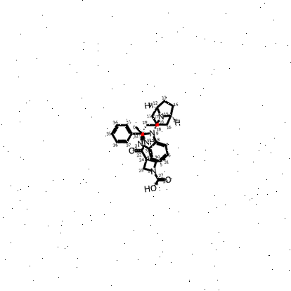 Cc1nc2ccccc2n1[C@@H]1C[C@H]2CC[C@@H](C1)N2CC[C@H](NC(=O)C1CN(C(=O)O)C1C)c1ccccc1